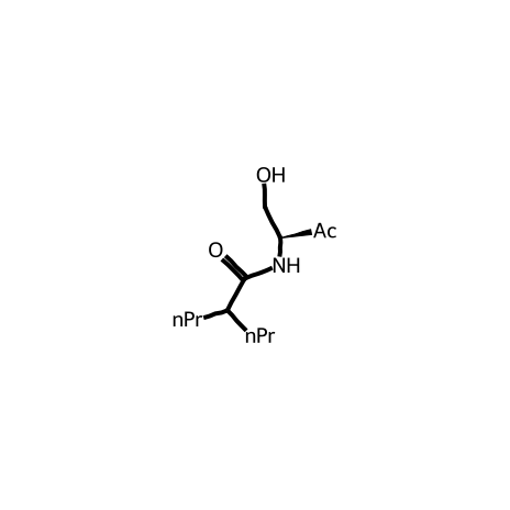 CCCC(CCC)C(=O)N[C@@H](CO)C(C)=O